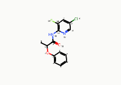 CC(Oc1ccccc1)C(=O)Nc1ncc(Cl)cc1F